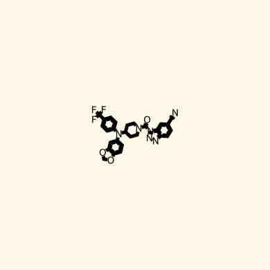 N#Cc1ccc2nnn(C(=O)N3CCC(N(c4ccc(C(F)(F)F)cc4)c4ccc5c(c4)OCO5)CC3)c2c1